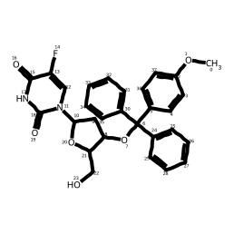 COc1ccc(C(OC2CC(n3cc(F)c(=O)[nH]c3=O)OC2CO)(c2ccccc2)c2ccccc2)cc1